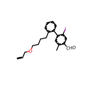 C=CCOCCCCc1ccccc1-c1cc(C)c(C=O)cc1I